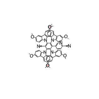 COc1ccc2c(c1)c1cc(OC)ccc1n2-c1c(C#N)c(-n2c3ccc(OC)cc3c3cc(OC)ccc32)c(-n2c3ccc(OC)cc3c3cc(OC)ccc32)c(-c2ccc(C#N)nc2)c1-n1c2ccc(OC)cc2c2cc(OC)ccc21